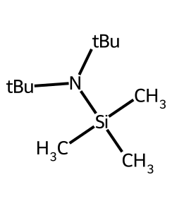 CC(C)(C)N(C(C)(C)C)[Si](C)(C)C